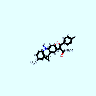 CNC(=O)c1c(-c2ccc(C)cc2)oc2cc(N(C)c3ccc([N+](=O)[O-])cc3)c(C3CC3)cc12